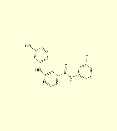 O=C(Nc1cccc(F)c1)c1cc(Nc2cccc(O)c2)ncn1